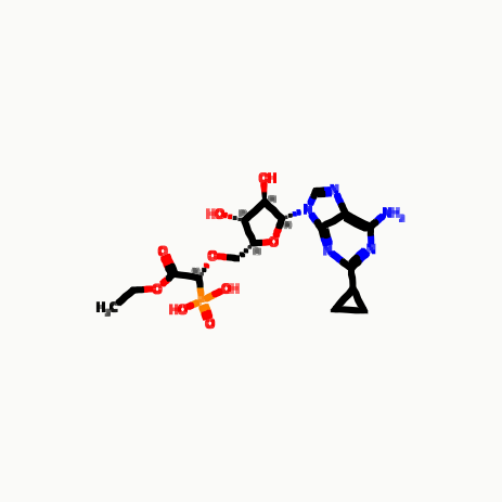 CCOC(=O)[C@H](OC[C@H]1O[C@@H](n2cnc3c(N)nc(C4CC4)nc32)[C@H](O)[C@H]1O)P(=O)(O)O